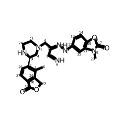 Cc1c([C@@H]2CN(C/C(C=N)=N/Nc3ccc4oc(=O)n(C)c4c3)CCN2)ccc2c1COC2=O